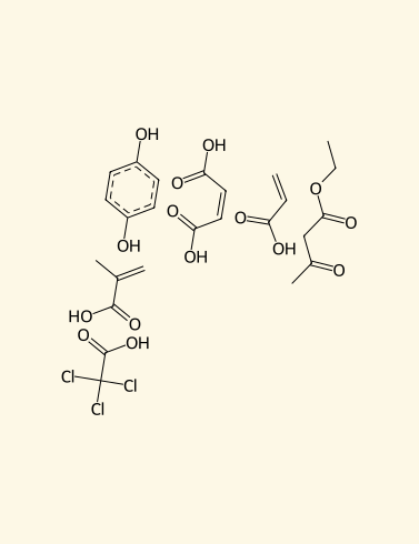 C=C(C)C(=O)O.C=CC(=O)O.CCOC(=O)CC(C)=O.O=C(O)/C=C\C(=O)O.O=C(O)C(Cl)(Cl)Cl.Oc1ccc(O)cc1